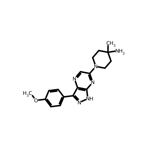 COc1ccc(-c2n[nH]c3nc(N4CCC(C)(N)CC4)cnc23)cc1